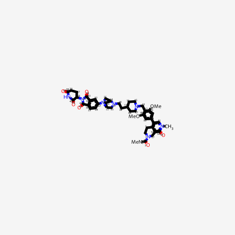 CNC(=O)N1CCc2c(-c3cc(OC)c(CN4CCC(CCN5CC6CC5CN6c5ccc6c(c5)C(=O)N(C5CCC(=O)NC5=O)C6=O)CC4)c(OC)c3)cn(C)c(=O)c2C1